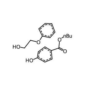 CCCCOC(=O)c1ccc(O)cc1.OCCOc1ccccc1